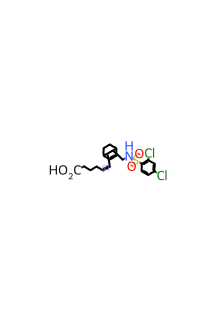 O=C(O)CCC/C=C\C1C2C=CC(CC2)C1CNS(=O)(=O)c1ccc(Cl)cc1Cl